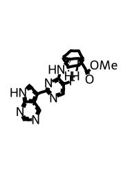 COC(=O)[C@H]1C2CCC(CC2)[C@@H]1Nc1nc(-c2c[nH]c3ncncc23)ncc1F